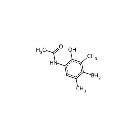 Bc1c(C)cc(NC(C)=O)c(O)c1C